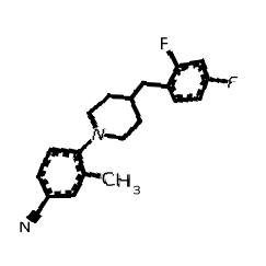 Cc1cc(C#N)ccc1N1CCC(Cc2ccc(F)cc2F)CC1